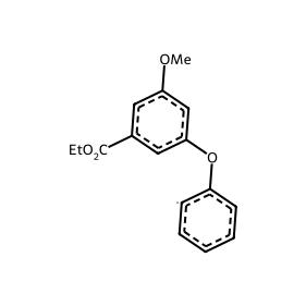 CCOC(=O)c1cc(OC)cc(Oc2[c]cccc2)c1